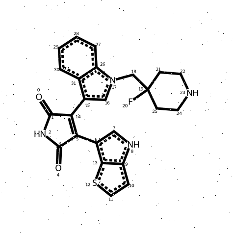 O=C1NC(=O)C(c2c[nH]c3ccsc23)=C1c1cn(CC2(F)CCNCC2)c2ccccc12